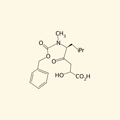 CC(C)C[C@@H](C(=O)CC(O)C(=O)O)N(C)C(=O)OCc1ccccc1